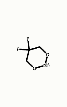 FC1(F)CONOC1